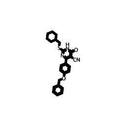 N#Cc1c(-c2ccc(OCc3ccccc3)cc2)nc(SCC2CCCCC2)[nH]c1=O